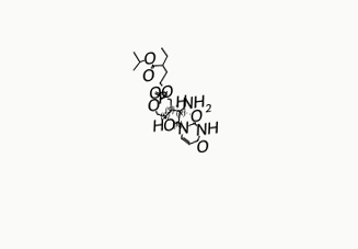 CCC(CCOP1(=O)C[C@@H]2[C@@H](CO1)O[C@@H](n1ccc(=O)[nH]c1=O)[C@]2(C)N)C(=O)OC(C)C